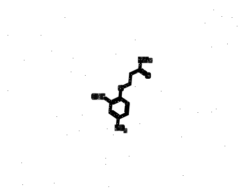 CNC(=O)CCOc1ccc([N+](=O)[O-])cc1C=O